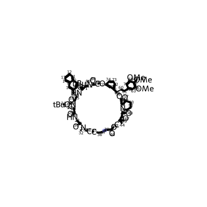 CCCC[C@H]1C(=O)N[C@@H](Cc2ccc3ccccc3c2)C(=O)N(C)[C@@H](COC(C)(C)C)C(=O)NCC(=O)N(C)CCCC/C=C/C(=O)OCC(C)(C)C(=O)C(=O)N2CCCC[C@H]2C(=O)O[C@H](CCc2cc(OC)c(OC)c(OC)c2)c2cccc(c2)OCC(=O)N1C